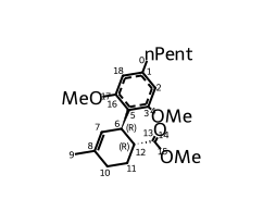 CCCCCc1cc(OC)c([C@@H]2C=C(C)CC[C@H]2C(=O)OC)c(OC)c1